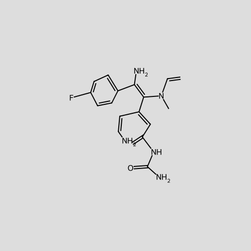 C=CN(C)C(=C(\N)c1ccc(F)cc1)/C(/C=C\N)=C/C(=C)NC(N)=O